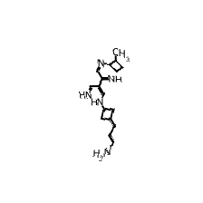 CC1CC[C@H]1/N=C\C(=N)/C(C=N)=C/NC1CC(CCCN)C1